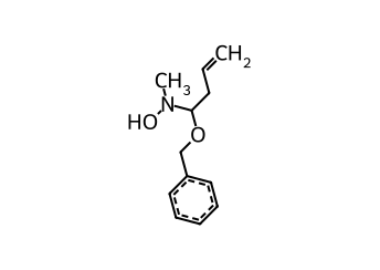 C=CCC(OCc1ccccc1)N(C)O